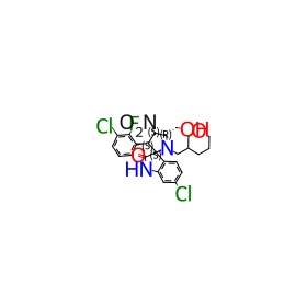 O=C1Nc2cc(Cl)ccc2[C@@]12[C@@H](c1cccc(Cl)c1F)[C@H]([N+](=O)[O-])[C@H](CO)N2CC1CCCOC1